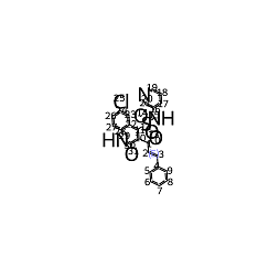 O=C(/C=C/c1ccccc1)c1c(S(=O)(=O)Nc2cccnc2)c2cc(Cl)ccc2[nH]c1=O